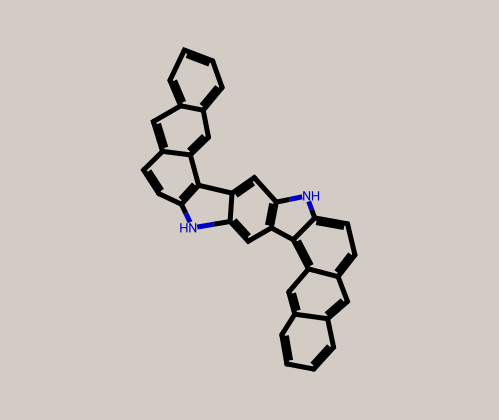 c1ccc2cc3c(ccc4[nH]c5cc6c(cc5c43)[nH]c3ccc4cc5ccccc5cc4c36)cc2c1